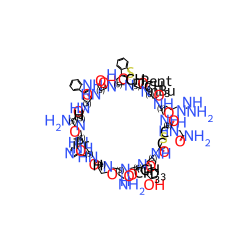 CCCCC[C@H]1C(=O)N(C)[C@@H](CCCC)C(=O)N[C@@H](CCCNC(=N)N)C(=O)N[C@H](C(=O)NCC(N)=O)CSCC(=O)N[C@@H](Cc2ccc(O)cc2)C(=O)N(C)[C@@H](C)C(=O)N[C@@H](CC(N)=O)C(=O)N2CCC[C@H]2C(=O)N[C@@H](Cc2cnc[nH]2)C(=O)N[C@@H](CC(C)C)C(=O)N2C[C@@H](N)C[C@H]2C(=O)N[C@@H](Cc2c[nH]c3ccccc23)C(=O)N[C@@H](CO)C(=O)N[C@@H](Cc2csc3ccccc23)C(=O)N1C